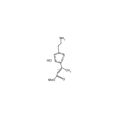 COC(=O)/C=C(\C)c1ccc(CCN)cc1.Cl